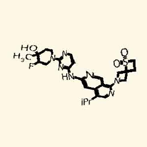 CC(C)c1cnc(N2CC3(CCS3(=O)=O)C2)c2cnc(Nc3ccnc(N4CCC(C)(O)C(F)C4)n3)cc12